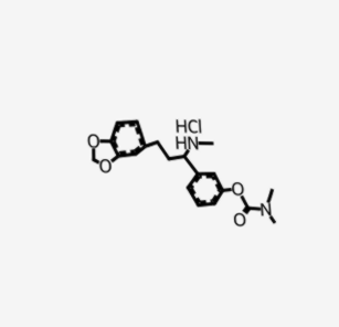 CNC(CCc1ccc2c(c1)OCO2)c1cccc(OC(=O)N(C)C)c1.Cl